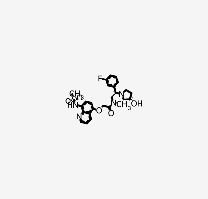 CN(C[C@@H](c1cccc(F)c1)N1CC[C@H](O)C1)C(=O)COc1ccc(NS(C)(=O)=O)c2ncccc12